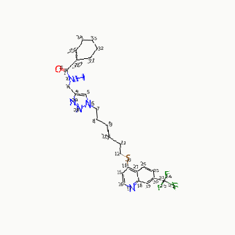 O=C(NCc1cn(CCCCCCSc2ccnc3cc(C(F)(F)F)ccc23)nn1)C1CCCCC1